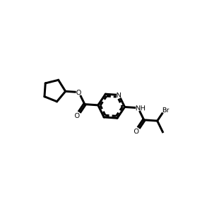 CC(Br)C(=O)Nc1ccc(C(=O)OC2CCCC2)cn1